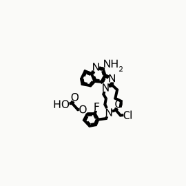 CCCCc1nc2c(N)nc3ccccc3c2n1CCCN(Cc1cccc(OCC(=O)O)c1F)C(=O)CCl